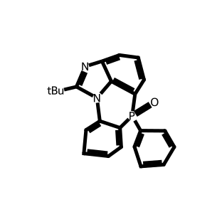 CC(C)(C)c1nc2cccc3c2n1-c1ccccc1P3(=O)c1ccccc1